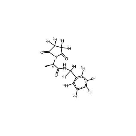 [2H]c1c([2H])c([2H])c(C([2H])([2H])NC(=O)[C@@H](C)N2C(=O)C([2H])([2H])C([2H])([2H])C2=O)c([2H])c1[2H]